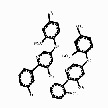 Cc1ccc(Nc2cnc(-c3cccc(Cl)c3)c(C)c2)c(C(=O)O)c1.Cc1ccc(Nc2cnc(-c3ccccc3C(F)(F)F)c(C)c2)c(C(=O)O)c1